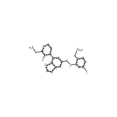 NCc1nccc(-c2cc(COc3cc(F)ccc3CC(=O)O)cc3ccoc23)c1F